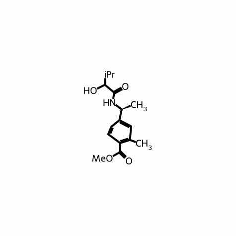 COC(=O)c1ccc([C@H](C)NC(=O)C(O)C(C)C)cc1C